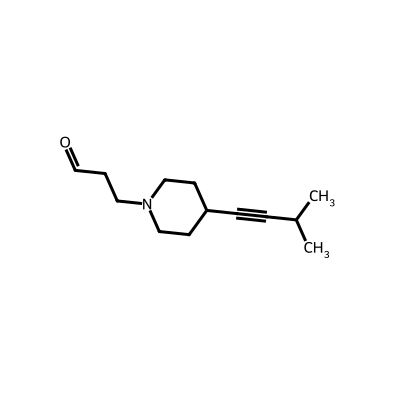 CC(C)C#CC1CCN(CCC=O)CC1